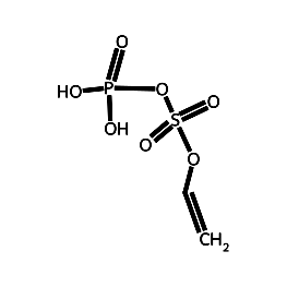 C=COS(=O)(=O)OP(=O)(O)O